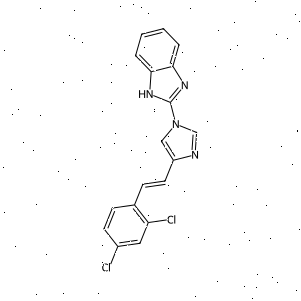 Clc1ccc(C=Cc2cn(-c3nc4ccccc4[nH]3)cn2)c(Cl)c1